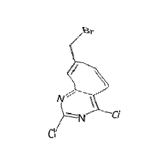 Clc1nc(Cl)c2ccc(CBr)cc2n1